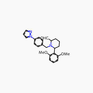 COc1cccc(OC)c1C1CCCC(C=O)N1Cc1ccc(-n2cccn2)cc1